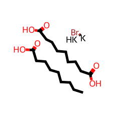 CCCCCCCCC(=O)O.O=C(O)CCCCCCCC(=O)O.[KH].[K][Br]